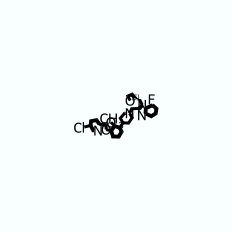 C[C@]1(c2ccc(Cl)cn2)Oc2cccc(C3CCN(Cc4nc5cccc(F)c5n4C[C@@H]4CCO4)CC3)c2O1